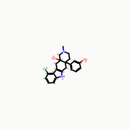 CN1CCC2(c3cccc(O)c3)Cc3[nH]c4cccc(Cl)c4c3CC2(O)C1